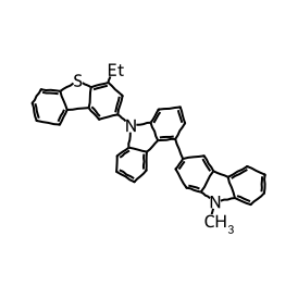 CCc1cc(-n2c3ccccc3c3c(-c4ccc5c(c4)c4ccccc4n5C)cccc32)cc2c1sc1ccccc12